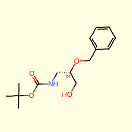 CC(C)(C)OC(=O)NC[C@@H](CO)OCc1ccccc1